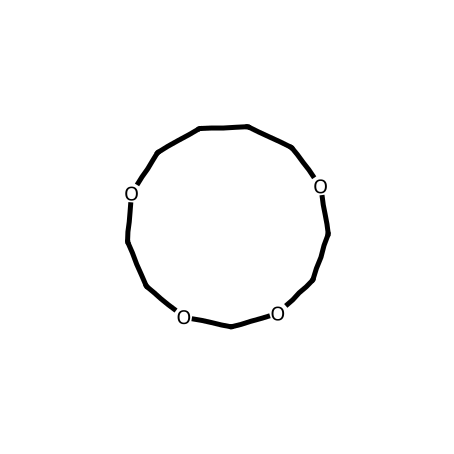 C1CCOCCOCOCCOC1